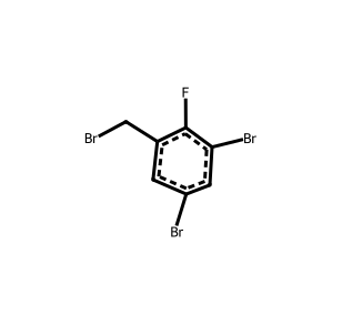 Fc1c(Br)cc(Br)cc1CBr